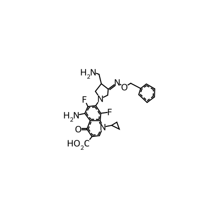 NCC1CN(c2c(F)c(N)c3c(=O)c(C(=O)O)cn(C4CC4)c3c2F)C/C1=N\OCc1ccccc1